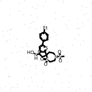 CCc1ccc(-c2ccc(C3(CC(=O)NO)CCN(S(C)(=O)=O)CCS3(=O)=O)s2)cc1